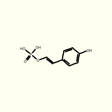 O=P(O)(O)OC=Cc1ccc(O)cc1